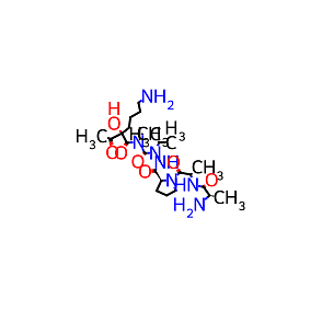 CC(=O)C(O)(CCCCN)C(=O)N(C)C(=O)N(NC(=O)[C@@H]1CCCN1C(=O)[C@H](C)NC(=O)[C@H](C)N)C(C)C